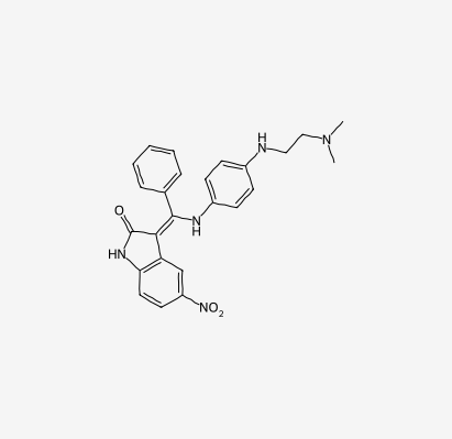 CN(C)CCNc1ccc(NC(=C2C(=O)Nc3ccc([N+](=O)[O-])cc32)c2ccccc2)cc1